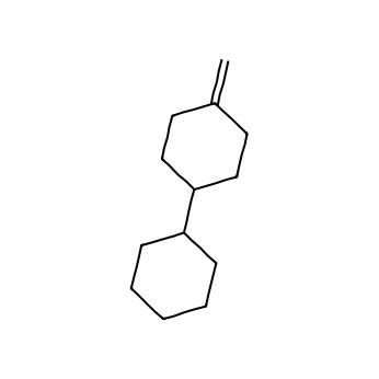 C=C1CCC(C2CCCCC2)CC1